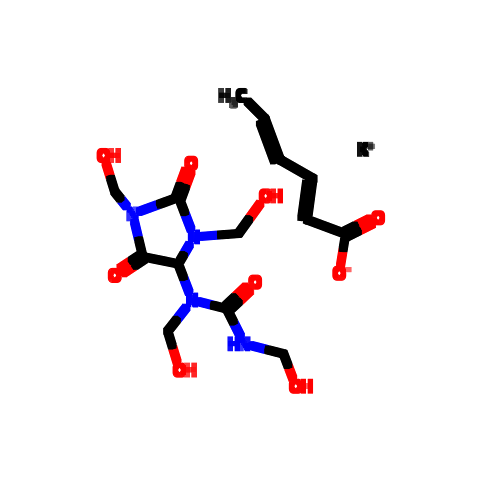 C/C=C/C=C/C(=O)[O-].O=C1C(N(CO)C(=O)NCO)N(CO)C(=O)N1CO.[K+]